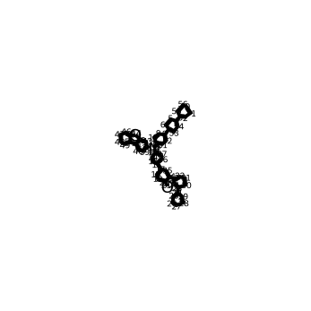 c1ccc(-c2ccc(-c3ccc(N(c4ccc(-c5ccc6oc7c(-c8ccccc8)cccc7c6c5)cc4)c4ccc5c(c4)oc4ccccc45)cc3)cc2)cc1